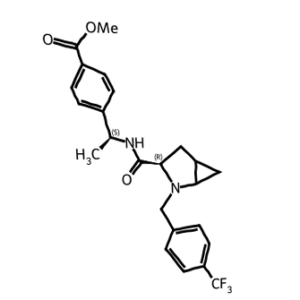 COC(=O)c1ccc([C@H](C)NC(=O)[C@H]2CC3CC3N2Cc2ccc(C(F)(F)F)cc2)cc1